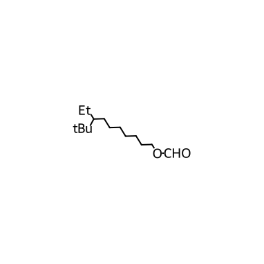 CCC(CCCCCCCOC=O)C(C)(C)C